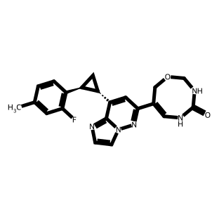 Cc1ccc([C@H]2C[C@@H]2c2cc(/C3=C/NC(=O)NCOC3)nn3ccnc23)c(F)c1